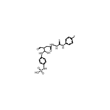 O=CC(CC(=O)NNC(=S)Nc1ccc(F)cc1)C(S)Nc1ccc(NS(=O)(=O)O)cc1